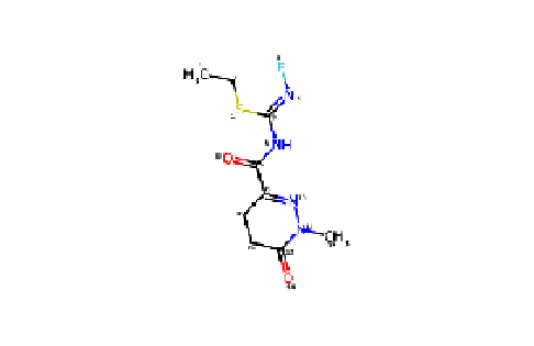 CCS/C(=N\F)NC(=O)C1=NN(C)C(=O)CC1